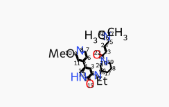 CCN(c1cc(-c2ccnc(OC)c2)c[nH]c1=O)[C@@H]1CCCN(C(=O)C=CCN(C)C)C1